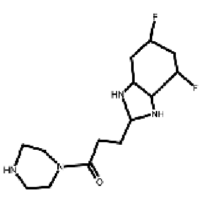 O=C(CCC1NC2CC(F)CC(F)C2N1)N1CCNCC1